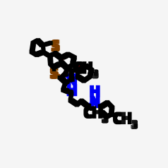 CC1=CC(/C=C/C=C\C=C(/C)Nc2ccc(C)cc2)=C2Sc3cc4c(cc3C1C2Nc1ccccc1-c1ccccc1)SCc1ccccc1-4